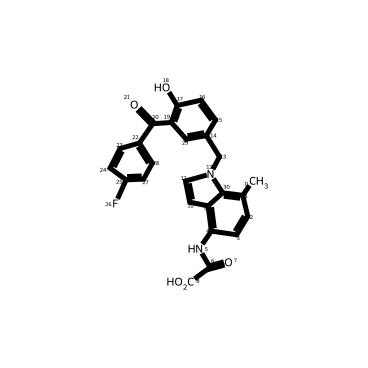 Cc1ccc(NC(=O)C(=O)O)c2ccn(Cc3ccc(O)c(C(=O)c4ccc(F)cc4)c3)c12